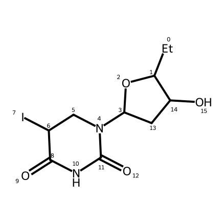 CCC1OC(N2CC(I)C(=O)NC2=O)CC1O